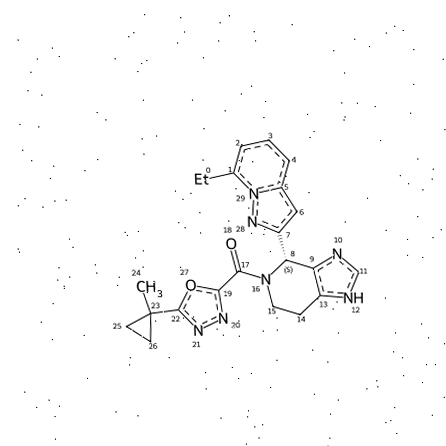 CCc1cccc2cc([C@@H]3c4nc[nH]c4CCN3C(=O)c3nnc(C4(C)CC4)o3)nn12